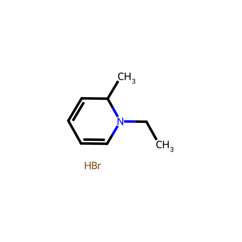 Br.CCN1C=CC=CC1C